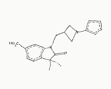 CC1(C)C(=O)N(CC2CN(c3ccsc3)C2)c2cc(C(=O)O)ccc21